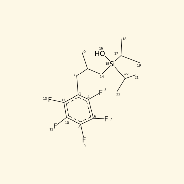 CC(Cc1c(F)c(F)c(F)c(F)c1F)C[Si](O)(C(C)C)C(C)C